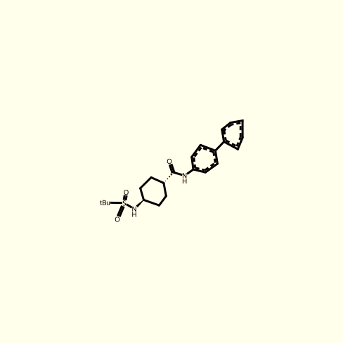 CC(C)(C)S(=O)(=O)N[C@H]1CC[C@H](C(=O)Nc2ccc(-c3ccccc3)cc2)CC1